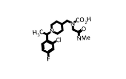 CNC(=O)CN(CC1CCN(C(C)c2ccc(F)cc2Cl)CC1)C(=O)O